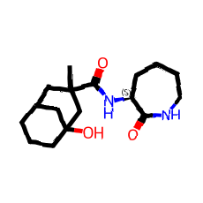 CC1(C(=O)N[C@H]2CCCCNC2=O)CC2CCCC(O)(C2)C1